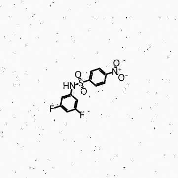 O=[N+]([O-])c1ccc(S(=O)(=O)Nc2cc(F)cc(F)c2)cc1